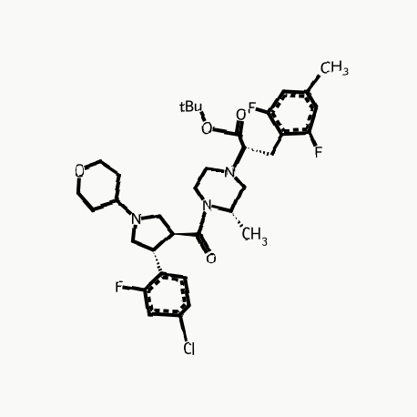 Cc1cc(F)c(C[C@@H](C(=O)OC(C)(C)C)N2CCN(C(=O)[C@@H]3CN(C4CCOCC4)C[C@H]3c3ccc(Cl)cc3F)[C@@H](C)C2)c(F)c1